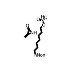 C=C1NC1=O.CCCCCCCCCCCCCCCCO[SH](=O)=O